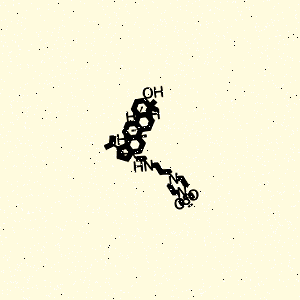 C=C(C)[C@@H]1CC[C@]2(CCNCCCN3CCN(S(C)(=O)=O)CC3)CC[C@]3(C)[C@H](CC[C@@H]4[C@@]5(C)CC[C@H](O)C(C)(C)[C@@H]5CC[C@]43C)[C@@H]12